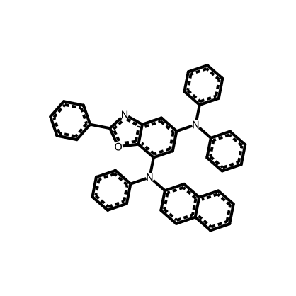 c1ccc(-c2nc3cc(N(c4ccccc4)c4ccccc4)cc(N(c4ccccc4)c4ccc5ccccc5c4)c3o2)cc1